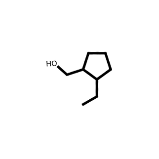 CCC1CCCC1CO